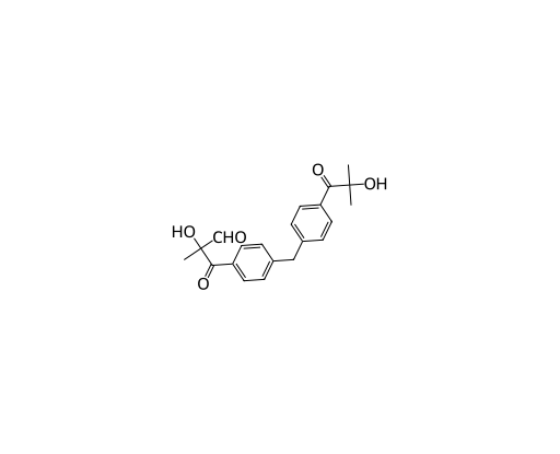 CC(C)(O)C(=O)c1ccc(Cc2ccc(C(=O)C(C)(O)C=O)cc2)cc1